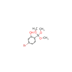 CO[Si](OC)(OC)c1ccc(Br)cc1O